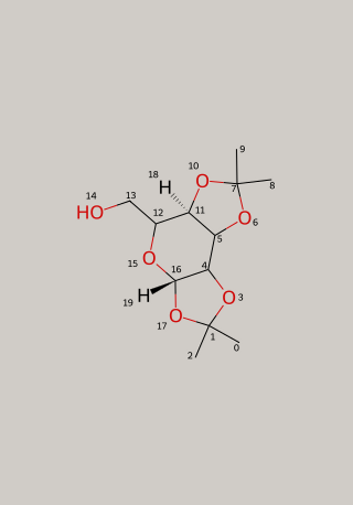 CC1(C)OC2C3OC(C)(C)O[C@@H]3C(CO)O[C@H]2O1